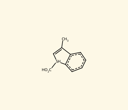 CC1=C[SH](C(=O)O)c2ccccc21